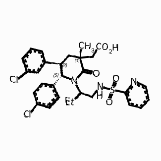 CCC(CNS(=O)(=O)c1ccccn1)N1C(=O)[C@@](C)(CC(=O)O)C[C@H](c2cccc(Cl)c2)[C@H]1c1ccc(Cl)cc1